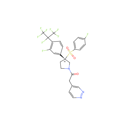 O=C(Cc1ccnnc1)N1CC[C@](c2ccc(C(F)(C(F)(F)F)C(F)(F)F)c(F)c2)(S(=O)(=O)c2ccc(F)cc2)C1